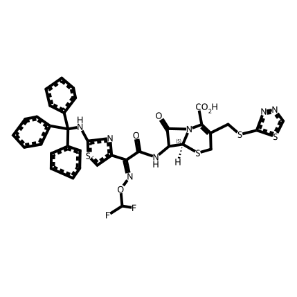 O=C(O)C1=C(CSc2nncs2)CS[C@H]2C(NC(=O)C(=NOC(F)F)c3csc(NC(c4ccccc4)(c4ccccc4)c4ccccc4)n3)C(=O)N12